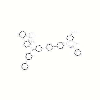 C/C(=C\N(c1ccc(C)cc1)c1ccc(-c2ccc(-c3ccc(N(c4ccc(-c5ccccc5)cc4)c4ccc5c(c4)C(C)(C)c4ccccc4-5)cc3)cc2)cc1)c1ccccc1